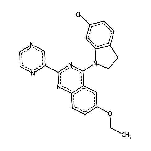 CCOc1ccc2nc(-c3cnccn3)nc(N3CCc4ccc(Cl)cc43)c2c1